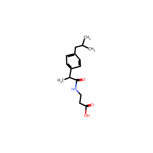 CC(C)Cc1ccc(C(C)C(=O)NCCC(=O)O)cc1